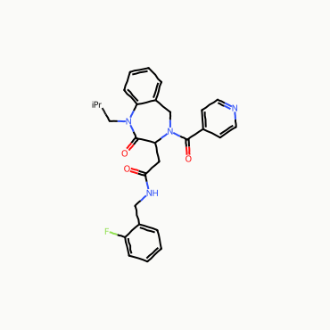 CC(C)CN1C(=O)C(CC(=O)NCc2ccccc2F)N(C(=O)c2ccncc2)Cc2ccccc21